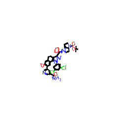 COc1cc2c(cc1-c1cncc(C(N)=O)c1)-c1c(c(C(=O)N3CCC4C3CCN4C(=O)OC(C)(C)C)nn1-c1cc(Cl)cc(Cl)c1)CC2